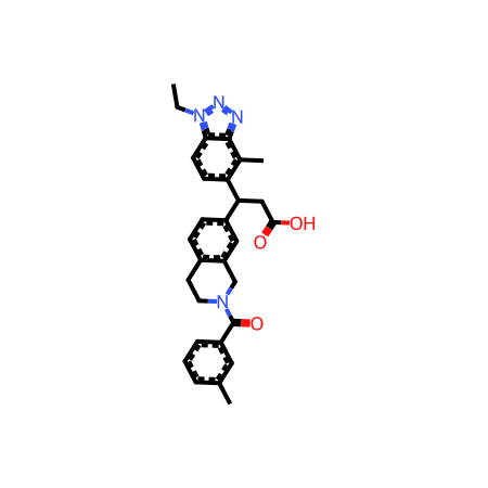 CCn1nnc2c(C)c(C(CC(=O)O)c3ccc4c(c3)CN(C(=O)c3cccc(C)c3)CC4)ccc21